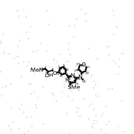 CNCC(O)COc1cccc(-c2nc(SC)cc(N(C)C3CCOCC3)n2)c1